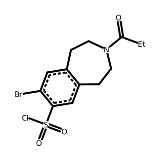 CCC(=O)N1CCc2cc(Br)c(S(=O)(=O)Cl)cc2CC1